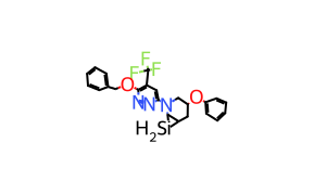 FC(F)(F)c1cc(N2C[C@H](Oc3ccccc3)CC3[SiH2]C32)nnc1OCc1ccccc1